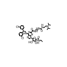 CCNC(=O)[C@H]1O[C@@H](n2cnc3c(NCC(c4cccc(Cl)c4)c4cccc(Cl)c4)nc(C(=O)NCCNC(=O)NCCN(C(C)C)C(C)C)nc32)[C@@H](O)[C@@H]1O